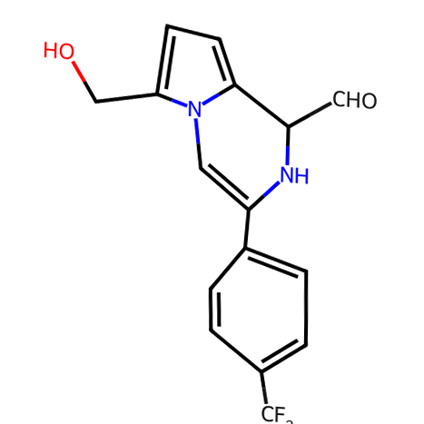 O=CC1NC(c2ccc(C(F)(F)F)cc2)=Cn2c(CO)ccc21